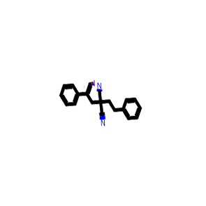 N#CC(C#N)(CCc1ccccc1)C/C(=C\I)c1ccccc1